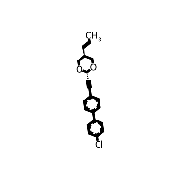 C/C=C/[C@H]1CO[C@H](C#Cc2ccc(-c3ccc(Cl)cc3)cc2)OC1